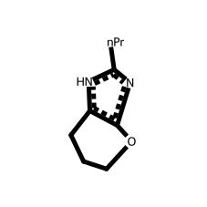 CCCc1nc2c([nH]1)CCCO2